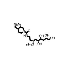 CCCCCCN(CCNC(=O)N1CCC(CNC)CC1)C[C@H](O)[C@@H](O)C[C@H](O)CO